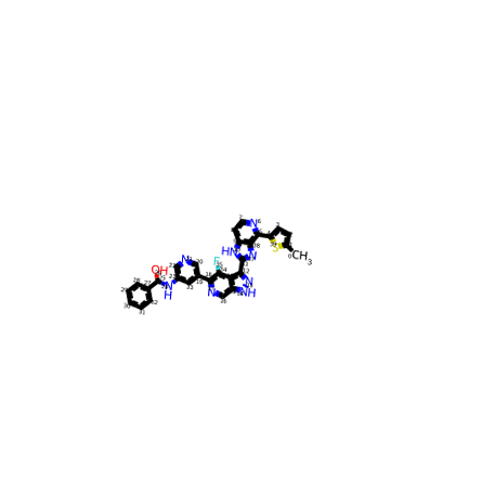 Cc1ccc(-c2nccc3[nH]c(-c4n[nH]c5cnc(-c6cncc(NC(O)c7ccccc7)c6)c(F)c45)nc23)s1